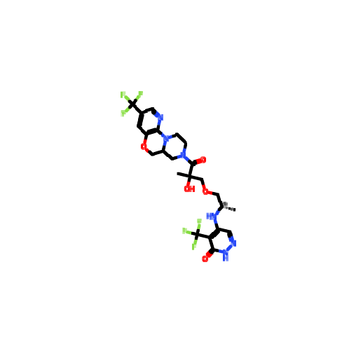 C[C@@H](COCC(C)(O)C(=O)N1CCN2c3ncc(C(F)(F)F)cc3OCC2C1)Nc1cn[nH]c(=O)c1C(F)(F)F